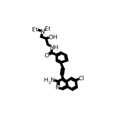 CCN(CC)CC(O)CNC(=O)c1cccc(C#Cc2c(N)ncc3ccc(Cl)cc23)c1